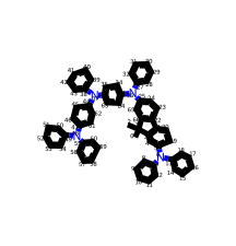 CC1(C)c2cc(N(c3ccccc3)c3ccccc3)ccc2-c2ccc(N(c3ccccc3)c3ccc(N(c4ccccc4)c4ccc(N(c5ccccc5)c5ccccc5)cc4)cc3)cc21